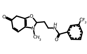 CN1C2=C(CC(=O)C=C2)OC1CCNC(=O)c1cccc(C(F)(F)F)c1